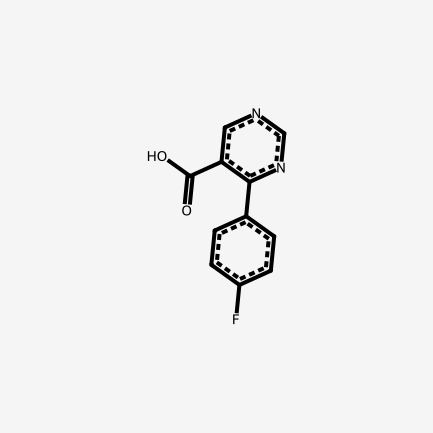 O=C(O)c1cncnc1-c1ccc(F)cc1